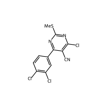 CSc1nc(Cl)c(C#N)c(-c2ccc(Cl)c(Cl)c2)n1